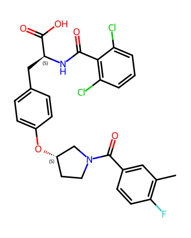 Cc1cc(C(=O)N2CC[C@H](Oc3ccc(C[C@H](NC(=O)c4c(Cl)cccc4Cl)C(=O)O)cc3)C2)ccc1F